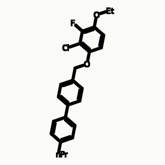 CCCc1ccc(-c2ccc(COc3ccc(OCC)c(F)c3Cl)cc2)cc1